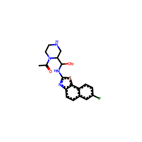 CC(=O)N1CCNCC1C(O)Nc1nc2ccc3cc(F)ccc3c2s1